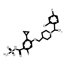 CS(=O)(=O)NC(=O)c1cc(C2CC2)c(OCC2CCN(C(c3ccc(F)cc3Cl)C(F)(F)F)CC2)cc1F